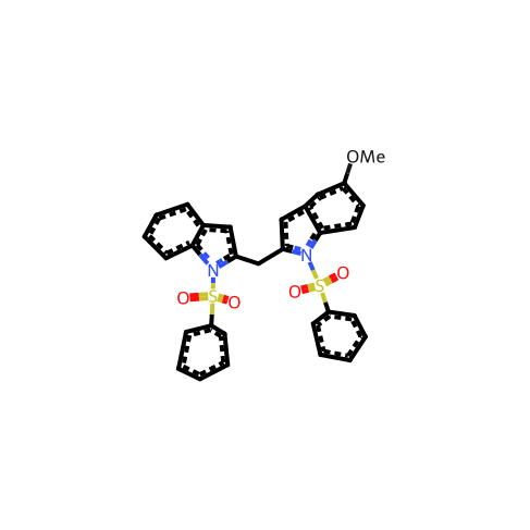 COc1ccc2c(c1)cc(Cc1cc3ccccc3n1S(=O)(=O)c1ccccc1)n2S(=O)(=O)c1ccccc1